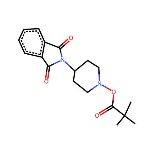 CC(C)(C)C(=O)ON1CCC(N2C(=O)c3ccccc3C2=O)CC1